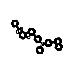 c1ccc(-c2nc3c(ccc4oc5c(-c6ccc(N(c7ccccc7)c7ccc(-c8cccc9ccccc89)cc7)cc6)cccc5c43)o2)cc1